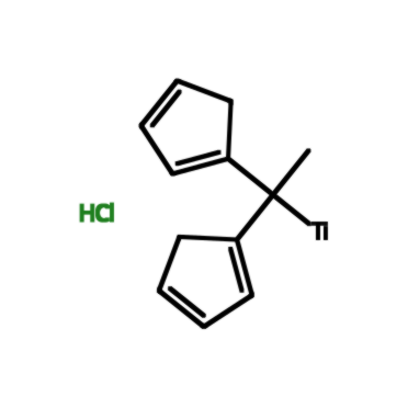 C[C]([Ti])(C1=CC=CC1)C1=CC=CC1.Cl